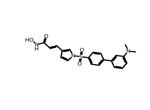 CN(C)c1cccc(-c2ccc(S(=O)(=O)n3ccc(/C=C/C(=O)NO)c3)cc2)c1